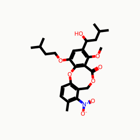 COc1c(C(O)CC(C)C)cc(OCCC(C)C)c2c1C(=O)OCc1c(ccc(C)c1[N+](=O)[O-])O2